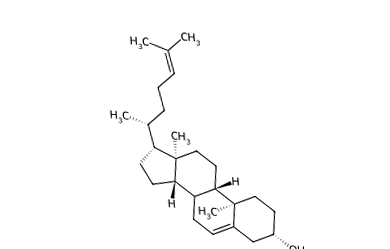 CC(C)=CCC[C@@H](C)[C@H]1CC[C@H]2C3CC=C4C[C@@H](O)CC[C@]4(C)[C@H]3CC[C@]12C